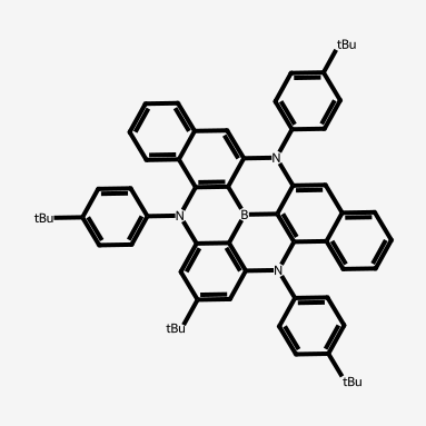 CC(C)(C)c1ccc(N2c3cc4ccccc4c4c3B3c5c(cc(C(C)(C)C)cc5N(c5ccc(C(C)(C)C)cc5)c5c3c2cc2ccccc52)N4c2ccc(C(C)(C)C)cc2)cc1